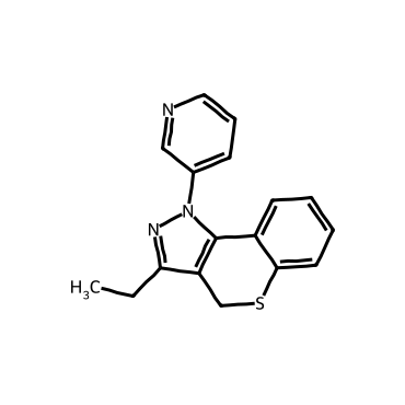 CCc1nn(-c2cccnc2)c2c1CSc1ccccc1-2